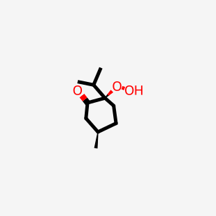 CC(C)[C@]1(OO)CC[C@@H](C)CC1=O